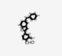 O=Cc1ccc(-c2cc3cc(Cc4ccccc4)ccc3o2)cc1I